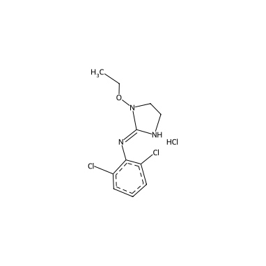 CCON1CCN/C1=N\c1c(Cl)cccc1Cl.Cl